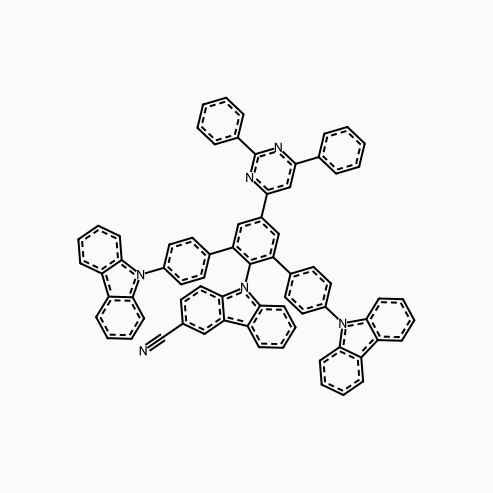 N#Cc1ccc2c(c1)c1ccccc1n2-c1c(-c2ccc(-n3c4ccccc4c4ccccc43)cc2)cc(-c2cc(-c3ccccc3)nc(-c3ccccc3)n2)cc1-c1ccc(-n2c3ccccc3c3ccccc32)cc1